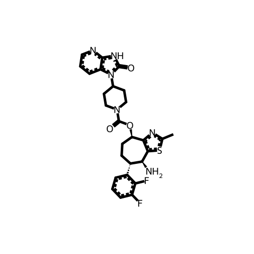 Cc1nc2c(s1)[C@@H](N)[C@H](c1cccc(F)c1F)CC[C@H]2OC(=O)N1CCC(n2c(=O)[nH]c3ncccc32)CC1